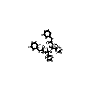 CC(NC(=O)Cc1ccccc1)(SC(C)(NC(=O)Cc1ccccc1)c1nncs1)c1nncs1